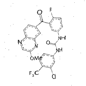 COc1cnc2ccc(C(=O)c3cc(NC(=O)Nc4ccc(C(F)(F)F)c(Cl)c4)ccc3F)cc2n1